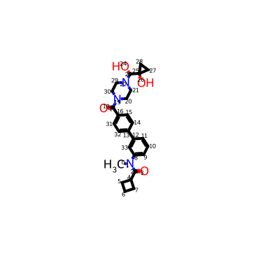 CN(C(=O)C1CCC1)c1cccc(-c2ccc(C(=O)N3CCN(C(O)C4(O)CC4)CC3)cc2)c1